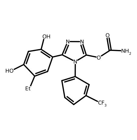 CCc1cc(-c2nnc(OC(N)=O)n2-c2cccc(C(F)(F)F)c2)c(O)cc1O